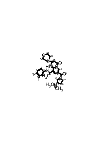 CC(Nc1ccc(F)c(F)c1)c1cc(C(=O)N2CC[C@@H](N(C)C)C2)cn2c(=O)cc(N3CCOCC3)nc12